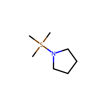 CS(C)(C)N1CCCC1